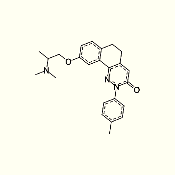 Cc1ccc(-n2nc3c(cc2=O)CCc2ccc(OCC(C)N(C)C)cc2-3)cc1